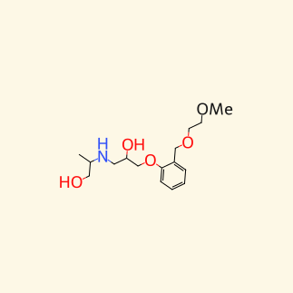 COCCOCc1ccccc1OCC(O)CNC(C)CO